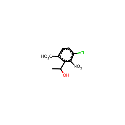 CC(O)c1c(C(=O)O)ccc(Cl)c1[N+](=O)[O-]